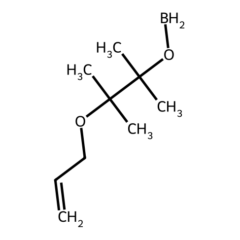 BOC(C)(C)C(C)(C)OCC=C